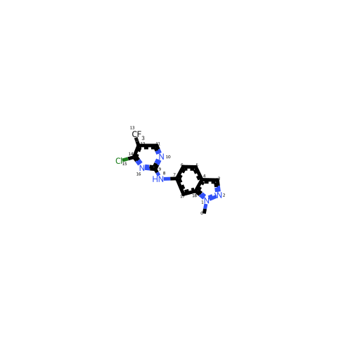 Cn1ncc2ccc(Nc3ncc(C(F)(F)F)c(Cl)n3)cc21